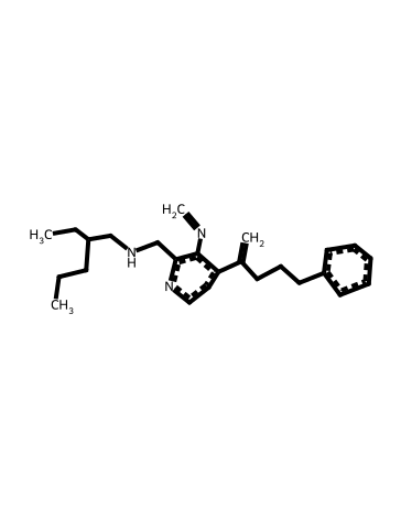 C=Nc1c(C(=C)CCCc2ccccc2)ccnc1CNCC(CC)CCC